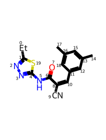 CCc1nnc(NC(=O)C(C#N)=Cc2cc(C)cc(C)c2)s1